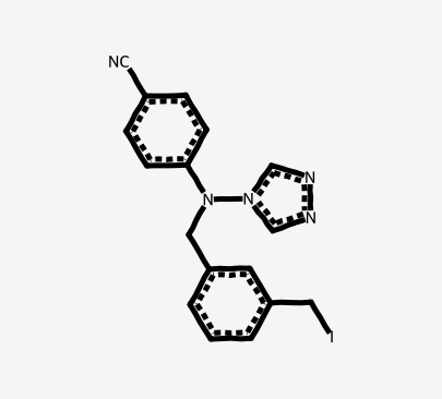 N#Cc1ccc(N(Cc2cccc(CI)c2)n2cnnc2)cc1